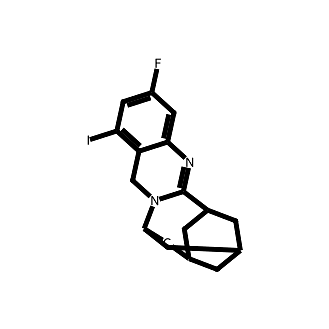 Fc1cc(I)c2c(c1)N=C1C3CC4CC(C3)CC(C4)N1C2